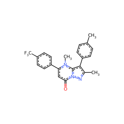 Cc1ccc(-c2c(C)nn3c(=O)cc(-c4ccc(C(F)(F)F)cc4)n(C)c23)cc1